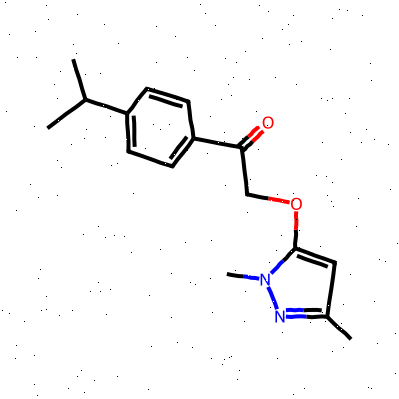 Cc1cc(OCC(=O)c2ccc(C(C)C)cc2)n(C)n1